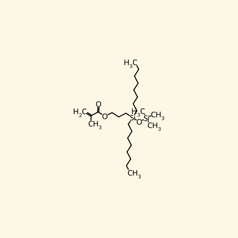 C=C(C)C(=O)OCCC[Si](CCCCCCCC)(CCCCCCCC)O[Si](C)(C)C